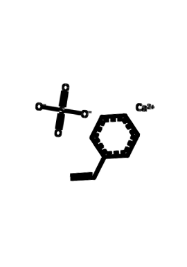 C=Cc1ccccc1.O=S(=O)([O-])[O-].[Ca+2]